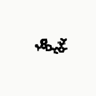 CCC(CC1CCC(C)N1C(=O)OC(C)C)N1CCC2(CC1)CN(C(C)=O)c1ccccc12